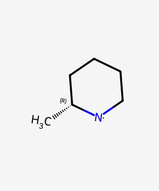 C[C@@H]1CCCC[N]1